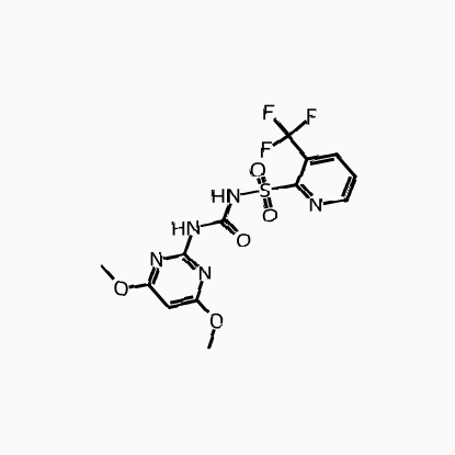 COc1cc(OC)nc(NC(=O)NS(=O)(=O)c2ncccc2C(F)(F)F)n1